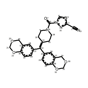 N#Cc1ncn(C(=O)N2CCC(=C(c3ccc4c(c3)COCO4)c3ccc4c(c3)COCO4)CC2)n1